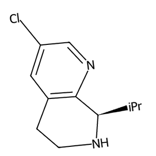 CC(C)[C@H]1NCCc2cc(Cl)cnc21